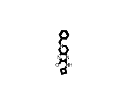 Clc1nc2c(nc1NC1CCC1)CCN(Cc1ccccc1)C2